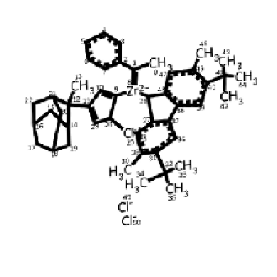 C/[C](c1ccccc1)=[Zr+2](/[C]1=CC(C2(C)C3CC4CC(C3)CC2C4)=CC1C)[CH]1c2cc(C)c(C(C)(C)C)cc2-c2cc(C(C)(C)C)c(C)cc21.[Cl-].[Cl-]